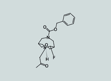 CC(=O)C[C@H]1CC2COCC(CN(C(=O)OCc3ccccc3)C2)C1F